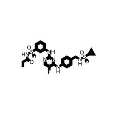 CCC(=O)NS(=O)(=O)c1cccc(Nc2ncc(F)c(Nc3ccc(CNS(=O)(=O)C4CC4)cc3)n2)c1